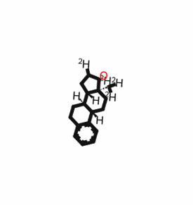 [2H]C1C[C@H]2[C@@H]3CCc4ccccc4[C@H]3CC[C@]2(C([2H])([2H])[2H])C1=O